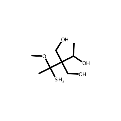 COC(C)([SiH3])C(CO)(CO)C(C)O